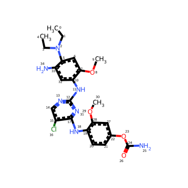 CCN(CC)c1cc(OC)c(Nc2ncc(Cl)c(Nc3ccc(OC(N)=O)cc3OC)n2)cc1N